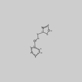 [C]1=NC(CCOc2ccccc2)CO1